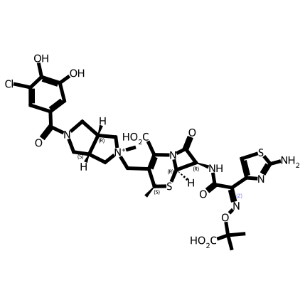 C[C@@H]1S[C@@H]2[C@H](NC(=O)/C(=N\OC(C)(C)C(=O)O)c3csc(N)n3)C(=O)N2C(C(=O)O)=C1C[N+]1(C)C[C@H]2CN(C(=O)c3cc(O)c(O)c(Cl)c3)C[C@H]2C1